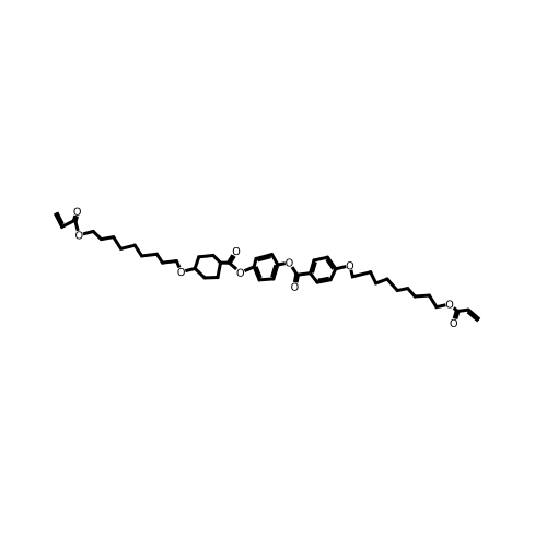 C=CC(=O)OCCCCCCCCCOc1ccc(C(=O)Oc2ccc(OC(=O)C3CCC(OCCCCCCCCCOC(=O)C=C)CC3)cc2)cc1